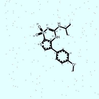 COc1ccc(-c2csc3c2NC(NC(C)C)=NS3(=O)=O)cc1